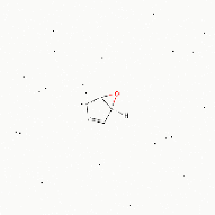 C1=C[C@@H]2OC2C1